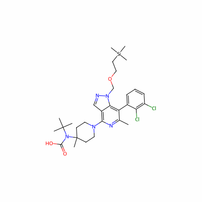 Cc1nc(N2CCC(C)(N(C(=O)O)C(C)(C)C)CC2)c2cnn(COCC[Si](C)(C)C)c2c1-c1cccc(Cl)c1Cl